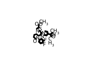 COC(=O)c1cnc(-c2c(C3CCCC(=O)N3c3ccc(F)c(F)c3)nc3cc(-c4c(C)noc4C)ccn23)s1